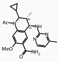 COc1cc2c(cc1C(N)=O)[C@H](Nc1nccc(C)n1)[C@@H](C)C(C1CC1)N2C(C)=O